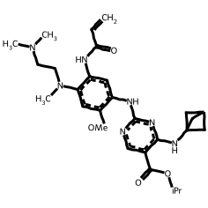 C=CC(=O)Nc1cc(Nc2ncc(C(=O)OC(C)C)c(NC34CC(C3)C4)n2)c(OC)cc1N(C)CCN(C)C